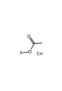 CC(=O)OF.[Cu]